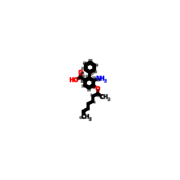 C=CCCCCC(C)Oc1ccc(C(=O)O)c(-c2ccccc2)c1N